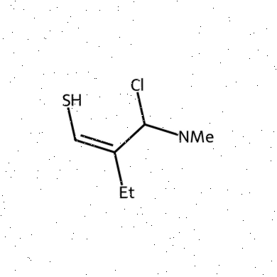 CC/C(=C/S)C(Cl)NC